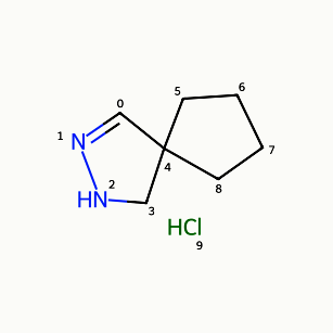 C1=NNCC12CCCC2.Cl